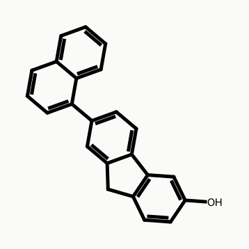 Oc1ccc2c(c1)-c1ccc(-c3cccc4ccccc34)cc1C2